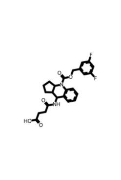 O=C(O)CCC(=O)NC1c2ccccc2N(C(=O)OCc2cc(F)cc(F)c2)C2CCCC12